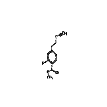 C#CCCCc1ccc(C(=O)OC)c(F)c1